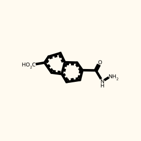 NNC(=O)c1ccc2cc(C(=O)O)ccc2c1